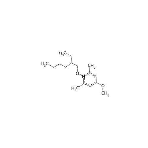 CCCCC(CC)CO[n+]1c(C)cc(OC)cc1C